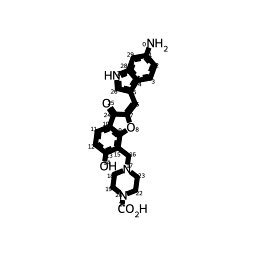 Nc1ccc2c(C=C3Oc4c(ccc(O)c4CN4CCN(C(=O)O)CC4)C3=O)c[nH]c2c1